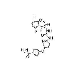 NC(=O)c1ccc(Oc2ccc(NC(=O)N[C@@H]3[C@H]4COc5c(F)ccc(F)c5[C@@H]43)nc2)cc1